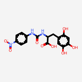 O=C(Nc1ccc([N+](=O)[O-])cc1)NC(Cc1cc(O)c(O)cc1O)C(=O)O